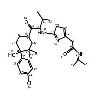 CC(C)NC(=O)Cc1csc(NC(C(=O)N2CCC(O)(c3ccc(Cl)cc3)C(C)(C)C2)C(C)C)n1